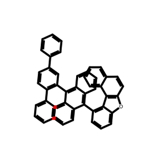 c1ccc(-c2ccc(-c3ccccc3)c(-c3c4ccccc4c(-c4cccc5oc6ccc7ccccc7c6c45)c4ccccc34)c2)cc1